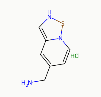 Cl.NCC1=CC2=CNSN2C=C1